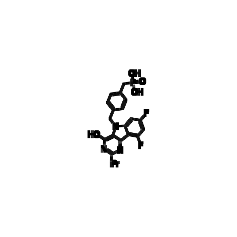 CC(C)c1nc(O)c2c(n1)c1c(F)cc(F)cc1n2Cc1ccc(CP(=O)(O)O)cc1